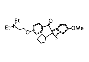 CCN(CC)CCOc1ccc(C(=O)c2c(C3CCCC3)sc3cc(OC)ccc23)cc1